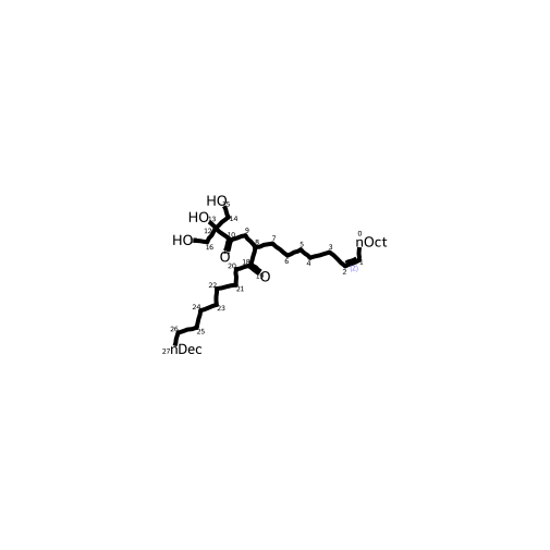 CCCCCCCC/C=C\CCCCCC(CC(=O)C(O)(CO)CO)C(=O)CCCCCCCCCCCCCCCCC